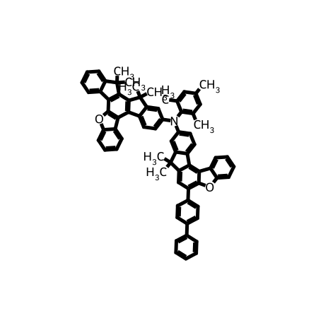 Cc1cc(C)c(N(c2ccc3c(c2)C(C)(C)c2cc(-c4ccc(-c5ccccc5)cc4)c4oc5ccccc5c4c2-3)c2ccc3c(c2)C(C)(C)c2c4c(c5oc6ccccc6c5c2-3)-c2ccccc2C4(C)C)c(C)c1